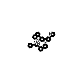 c1ccc(-c2cc(-c3ccccc3)nc(N3c4cc5c(cc4-c4cccc6cccc3c46)c3cc(-c4ccccn4)ccc3n5-c3ccccc3)n2)cc1